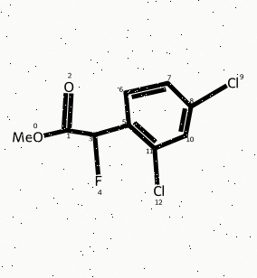 COC(=O)C(F)c1ccc(Cl)cc1Cl